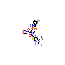 CC1NCc2sc(C(=O)N3CCN(S(=O)(=O)c4cc5cc(Br)ccc5[nH]4)CC3CC(=O)N3CCOCC3)nc2C1C